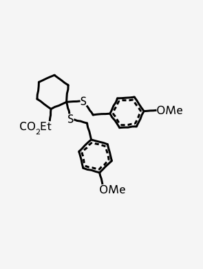 CCOC(=O)C1CCCCC1(SCc1ccc(OC)cc1)SCc1ccc(OC)cc1